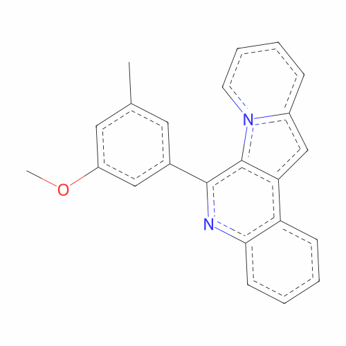 COc1cc(C)cc(-c2nc3ccccc3c3cc4ccccn4c23)c1